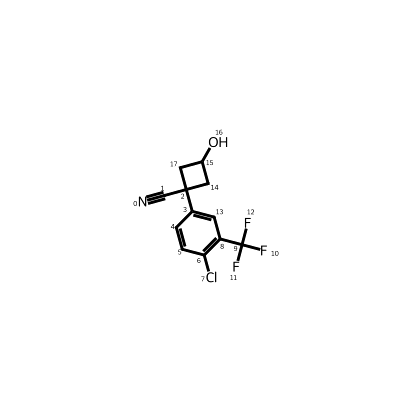 N#CC1(c2ccc(Cl)c(C(F)(F)F)c2)CC(O)C1